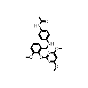 COc1cc(OC)nc(Oc2c(CNc3ccc(NC(C)=O)cc3)cccc2OC)n1